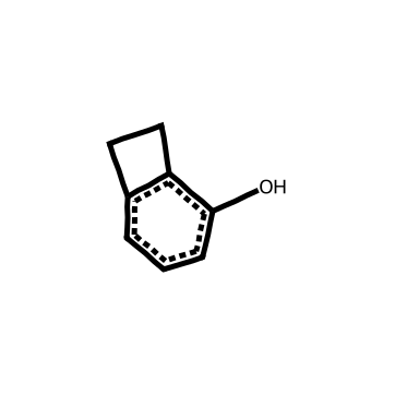 Oc1cccc2c1CC2